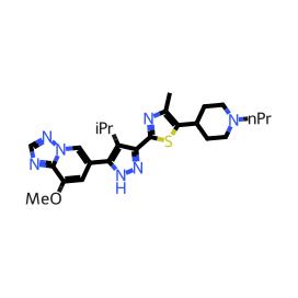 CCCN1CCC(c2sc(-c3n[nH]c(-c4cc(OC)c5ncnn5c4)c3C(C)C)nc2C)CC1